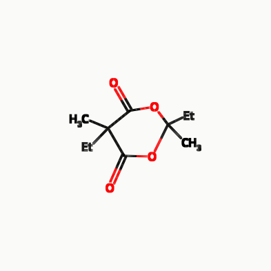 CCC1(C)OC(=O)C(C)(CC)C(=O)O1